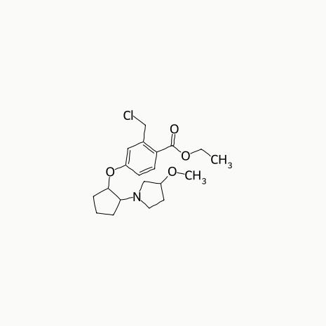 CCOC(=O)c1ccc(OC2CCCC2N2CCC(OC)C2)cc1CCl